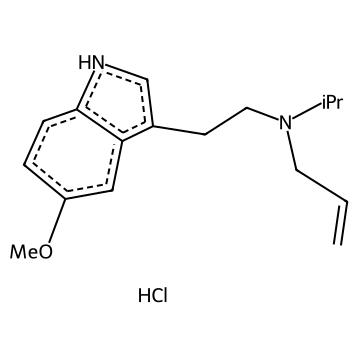 C=CCN(CCc1c[nH]c2ccc(OC)cc12)C(C)C.Cl